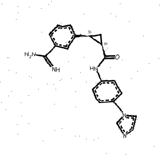 N=C(N)c1cccc([C@H]2C[C@H]2C(=O)Nc2ccc(-n3ccnc3)cc2)c1